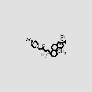 CC(=O)N1CCN(CC(=O)CC[C@]2(C)CCC[C@@]3(C)C4=CC[C@](C)(I)CC4CCC23)CC1